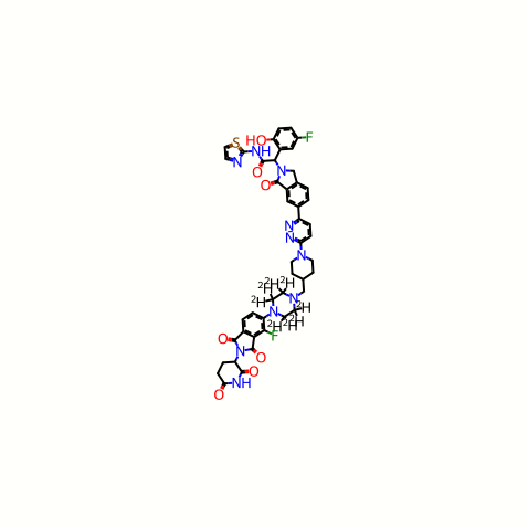 [2H]C1([2H])N(CC2CCN(c3ccc(-c4ccc5c(c4)C(=O)N(C(C(=O)Nc4nccs4)c4cc(F)ccc4O)C5)nn3)CC2)C([2H])([2H])C([2H])([2H])N(c2ccc3c(c2F)C(=O)N(C2CCC(=O)NC2=O)C3=O)C1([2H])[2H]